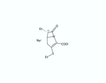 CCSC1=C(C(=O)[O-])N2C(=O)[C@@H](CC)C2C1.[Na+]